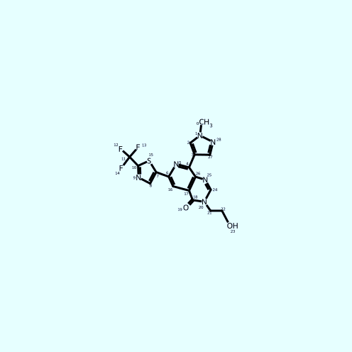 Cn1cc(-c2nc(-c3cnc(C(F)(F)F)s3)cc3c(=O)n(CCO)cnc23)cn1